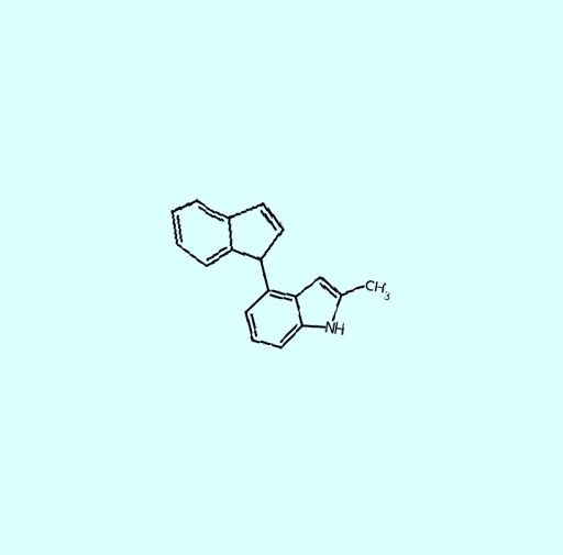 Cc1cc2c(C3C=Cc4ccccc43)cccc2[nH]1